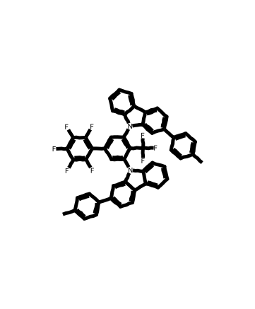 Cc1ccc(-c2ccc3c4ccccc4n(-c4cc(-c5c(F)c(F)c(F)c(F)c5F)cc(-n5c6ccccc6c6ccc(-c7ccc(C)cc7)cc65)c4C(F)(F)F)c3c2)cc1